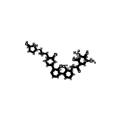 CCc1nc(-c2cccc(-c3cccc(NC(=O)c4cn(C)c(=O)n(C)c4=O)c3Cl)c2Cl)cnc1CNC[C@@H]1CCC(=O)N1